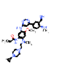 C=CC(=O)Nc1cc(Nc2cc(-c3ccc(NC)c(C=N)c3)ncn2)c(OC)cc1N(C)CCN1CCN(C2CC2)CC1